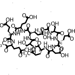 CC(=O)CCC(NC(=O)[C@@H](CCC(=O)O)NC(=O)C(CCC(=O)O)NC(=O)[C@@H](CCC(=O)O)NC(=O)C(CO)NC(=O)[C@@H](CCC(C)=O)NC(=O)C(CC(=O)O)NC(=O)[C@@H](CCC(=O)O)NC(=O)C(CO)NC(C)=O)C(C)=O